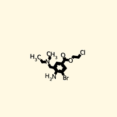 CCN(CC)Cc1cc(C(=O)OCCCl)cc(Br)c1N